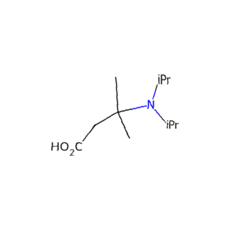 CC(C)N(C(C)C)C(C)(C)CC(=O)O